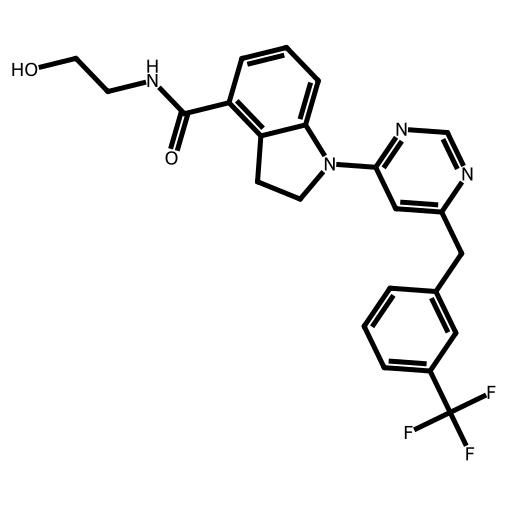 O=C(NCCO)c1cccc2c1CCN2c1cc(Cc2cccc(C(F)(F)F)c2)ncn1